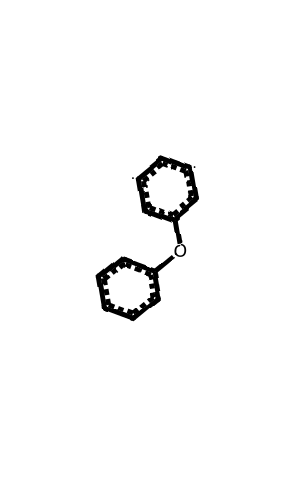 [c]1c[c]cc(Oc2ccccc2)c1